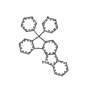 c1ccc(C2(c3cccnc3)c3ccccc3-c3c2ccc2c3[nH]c3ccccc32)cc1